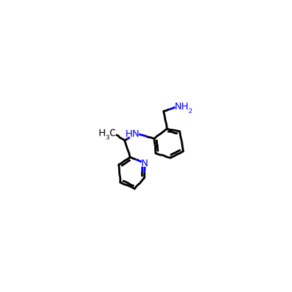 CC(Nc1ccccc1CN)c1ccccn1